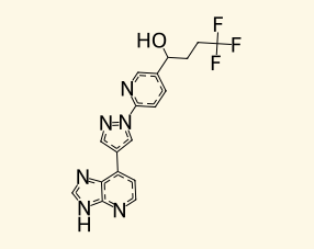 OC(CCC(F)(F)F)c1ccc(-n2cc(-c3ccnc4[nH]cnc34)cn2)nc1